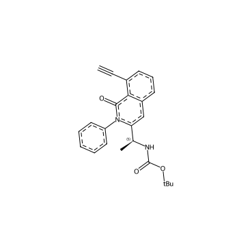 C#Cc1cccc2cc([C@H](C)NC(=O)OC(C)(C)C)n(-c3ccccc3)c(=O)c12